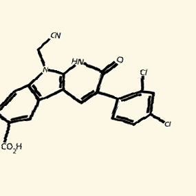 N#CCn1c2ccc(C(=O)O)cc2c2cc(-c3ccc(Cl)cc3Cl)c(=O)[nH]c21